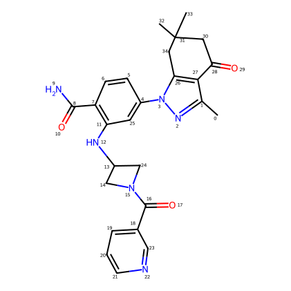 Cc1nn(-c2ccc(C(N)=O)c(NC3CN(C(=O)c4cccnc4)C3)c2)c2c1C(=O)CC(C)(C)C2